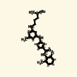 CCCCN(C)CCCNc1cc(Nc2nc(C(=O)Nc3c(C)cccc3Cl)cs2)nc(C)n1